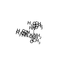 CC(=O)[C@H](CCCCNC(=O)OC(C)(C)C)NC(=O)[C@@H](N)CCCCNC(=O)OC(C)(C)C